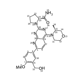 COc1ccc(-c2ccc3c(N4CCOC[C@@H]4C)nc(N4CCC[C@H]4C(N)=O)nc3n2)cc1CO